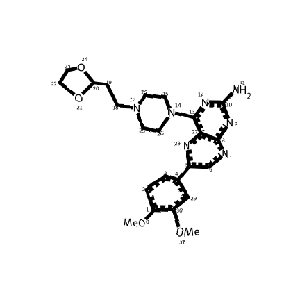 COc1ccc(-c2cnc3nc(N)nc(N4CCN(CCC5OCCO5)CC4)c3n2)cc1OC